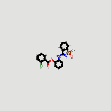 O=C(Oc1ccccc1NC1=NS(=O)(=O)c2ccccc21)c1ccc#cc1Cl